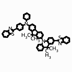 CC1(C)c2cc(N(c3ccccc3)c3ccc(-c4nc5ccccc5s4)cc3)ccc2-c2ccc(N3c4ccccc4C(C)(C)c4cc(-c5nc6ccccc6s5)ccc43)cc21